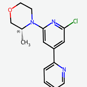 C[C@@H]1COCCN1c1cc(-c2ccccn2)cc(Cl)n1